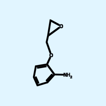 Nc1ccccc1OCC1CO1